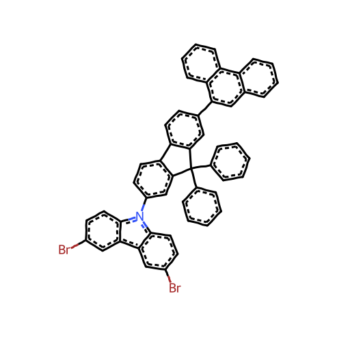 Brc1ccc2c(c1)c1cc(Br)ccc1n2-c1ccc2c(c1)C(c1ccccc1)(c1ccccc1)c1cc(-c3cc4ccccc4c4ccccc34)ccc1-2